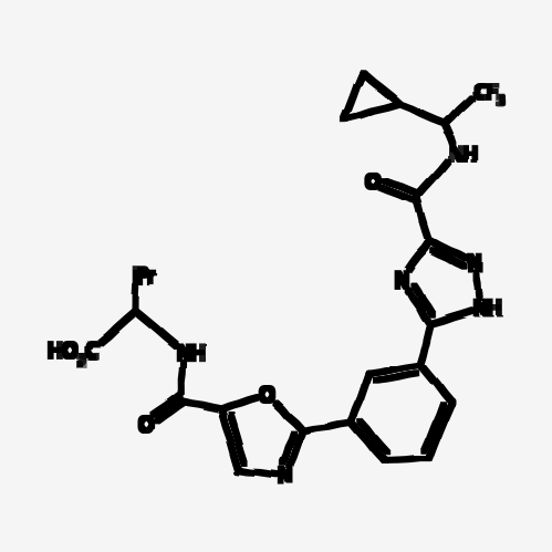 CC(C)C(NC(=O)c1cnc(-c2cccc(-c3nc(C(=O)NC(C4CC4)C(F)(F)F)n[nH]3)c2)o1)C(=O)O